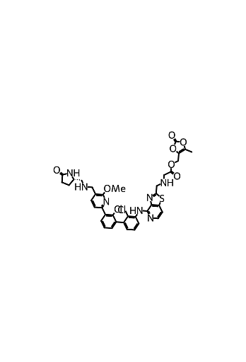 COc1nc(-c2cccc(-c3cccc(Nc4nccc5sc(CNCC(=O)OCc6oc(=O)oc6C)nc45)c3Cl)c2Cl)ccc1CNC[C@@H]1CCC(=O)N1